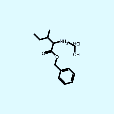 CCC(C)C(N)C(=O)OCc1ccccc1.CCO.Cl